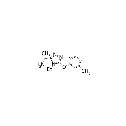 CCn1c(Oc2cc(C)ccn2)nnc1[C@@H](C)N